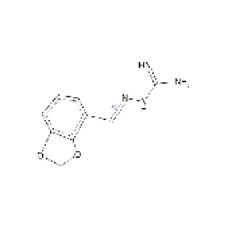 N=C(N)N/N=C/c1cccc2c1OCO2